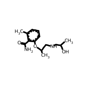 Cc1cccc(OC(C)CNCC(C)O)c1C(N)=O